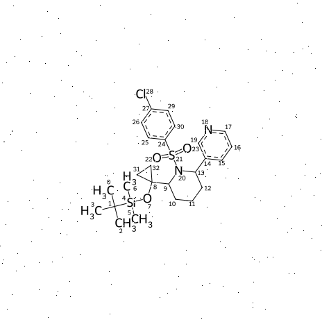 CC(C)(C)[Si](C)(C)OC1(C2CCCC(c3cccnc3)N2S(=O)(=O)c2ccc(Cl)cc2)CC1